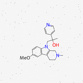 COc1ccc2c(c1)c1c(n2CC(C)(O)c2ccncc2)CN(C)CC1